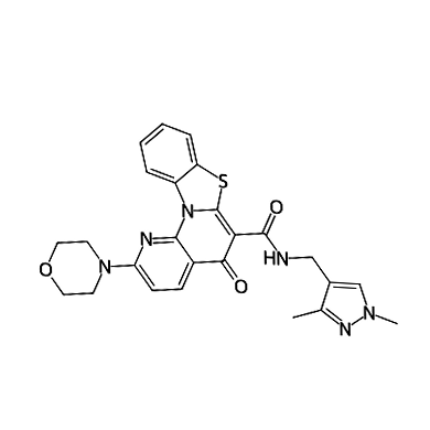 Cc1nn(C)cc1CNC(=O)c1c(=O)c2ccc(N3CCOCC3)nc2n2c1sc1ccccc12